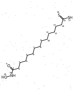 O=C(CCCCCCCCCCCCCC(=S)S)NO